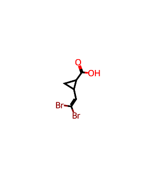 O=C(O)C1CC1C=C(Br)Br